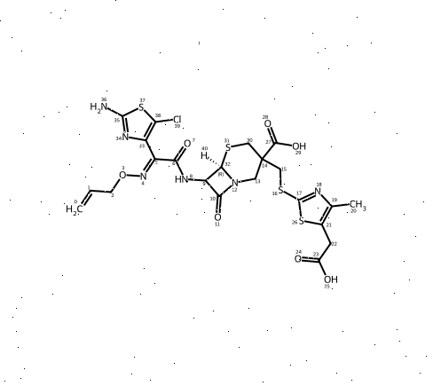 C=CCON=C(C(=O)NC1C(=O)N2CC(CSc3nc(C)c(CC(=O)O)s3)(C(=O)O)CS[C@H]12)c1nc(N)sc1Cl